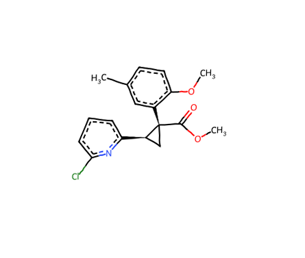 COC(=O)[C@]1(c2cc(C)ccc2OC)C[C@H]1c1cccc(Cl)n1